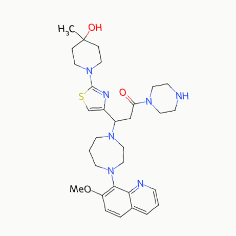 COc1ccc2cccnc2c1N1CCCN(C(CC(=O)N2CCNCC2)c2csc(N3CCC(C)(O)CC3)n2)CC1